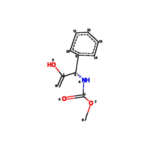 C=C(O)[C@@H](NC(=O)OC)c1ccccc1